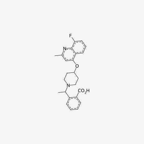 Cc1cc(OC2CCN(C(C)c3ccccc3C(=O)O)CC2)c2cccc(F)c2n1